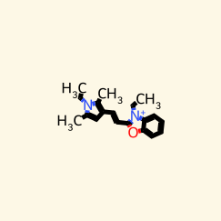 CCn1c(C)cc(C=Cc2oc3ccccc3[n+]2CC)c1C